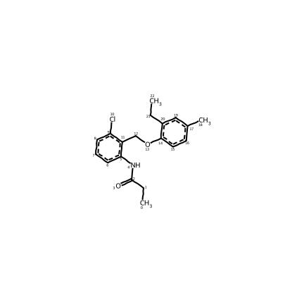 CCC(=O)Nc1cccc(Cl)c1COc1ccc(C)cc1CC